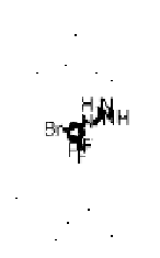 FC(F)(F)c1cc(Br)cc(NCc2cnc[nH]2)c1